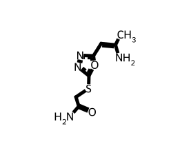 CC(N)=Cc1nnc(SCC(N)=O)o1